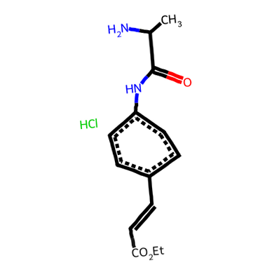 CCOC(=O)C=Cc1ccc(NC(=O)C(C)N)cc1.Cl